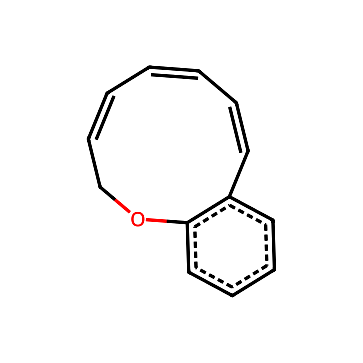 C1=CC=Cc2ccccc2OCC=C1